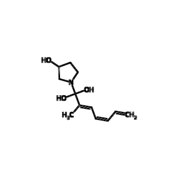 C=C/C=C\C=C(/C)C(O)(O)N1CCC(O)C1